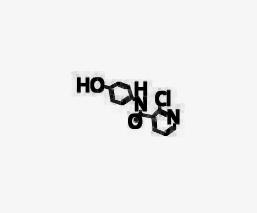 O=C(Nc1ccc(O)cc1)c1cccnc1Cl